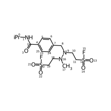 CC(C)NC(=O)c1ccc(CN(CCS(=O)(=O)F)N(C)CCS(=O)(=O)F)cc1